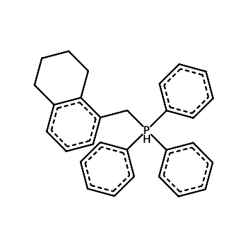 c1ccc([PH](Cc2cccc3c2CCCC3)(c2ccccc2)c2ccccc2)cc1